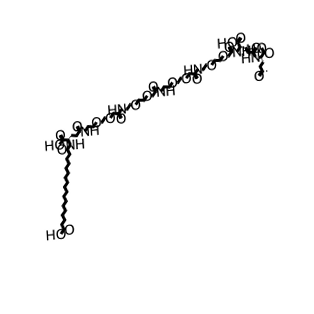 O=[C]CC[C@H](NC(=O)CC[C@H](NC(=O)COCCOCCNC(=O)COCCOCCNC(=O)COCCOCCNC(=O)COCCOCCNC(=O)CC[C@H](NC(=O)CCCCCCCCCCCCCCCCC(=O)O)C(=O)O)C(=O)O)C(=O)O